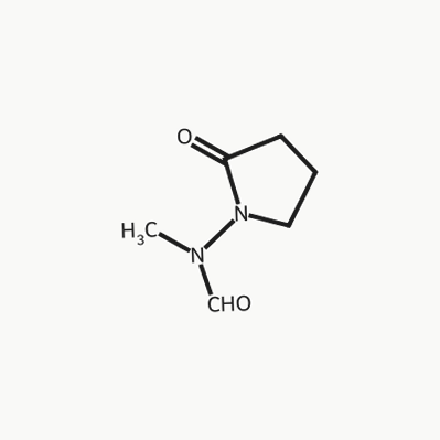 CN(C=O)N1CCCC1=O